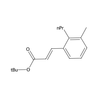 CCCc1c(C)cccc1/C=C/C(=O)OC(C)(C)C